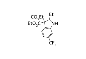 CCOC(=O)C1(C(=O)OCC)c2ccc(C(F)(F)F)cc2NC1CC